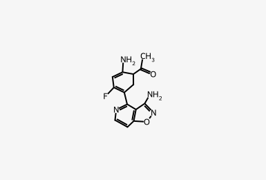 CC(=O)C1CC(c2nccc3onc(N)c23)=C(F)C=C1N